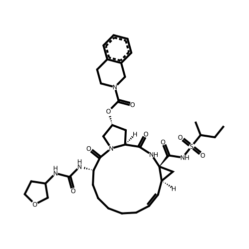 CCC(C)S(=O)(=O)NC(=O)[C@@]12C[C@H]1/C=C\CCCCC[C@H](NC(=O)NC1CCOC1)C(=O)N1C[C@H](OC(=O)N3CCc4ccccc4C3)C[C@H]1C(=O)N2